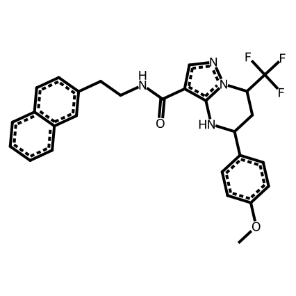 COc1ccc(C2CC(C(F)(F)F)n3ncc(C(=O)NCCc4ccc5ccccc5c4)c3N2)cc1